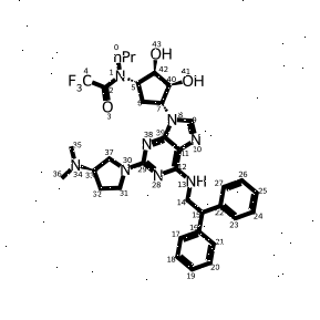 CCCN(C(=O)C(F)(F)F)[C@H]1C[C@@H](n2cnc3c(NCC(c4ccccc4)c4ccccc4)nc(N4CC[C@@H](N(C)C)C4)nc32)[C@H](O)[C@@H]1O